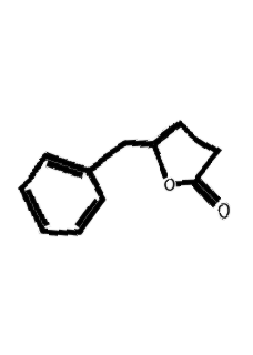 O=C1CCC(Cc2ccccc2)O1